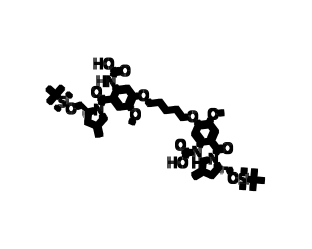 C=C1C[C@@H](CO[Si](C)(C)C(C)(C)C)N(C(=O)c2cc(OC)c(OCCCCCOc3cc(NC(=O)O)c(C(=O)N4CC(=C)C[C@H]4CO[Si](C)(C)C(C)(C)C)cc3OC)cc2NC(=O)O)C1